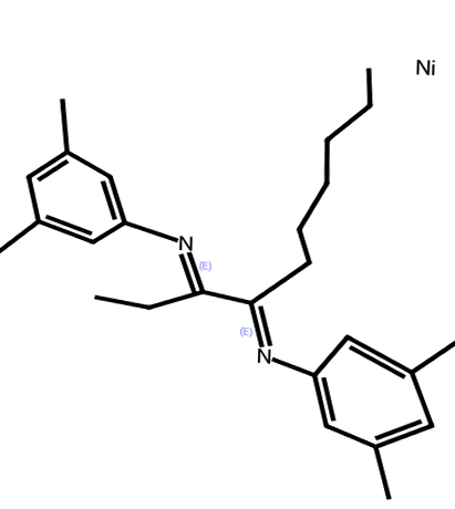 CCCCCCC(=N\c1cc(C)cc(C)c1)/C(CC)=N/c1cc(C)cc(C)c1.[Ni]